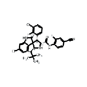 CC(C)(C)C[C@@H]1N[C@@H](C(=O)Nc2ccc(C#N)cc2F)[C@@H](c2cccc(Cl)c2F)C12C(=O)Nc1cc(Cl)cc(F)c12